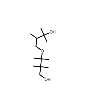 CC(COC(C)(C)C(C)(C)CO)C(C)(C)O